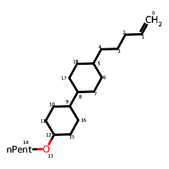 C=CCCCC1CCC(C2CCC(OCCCCC)CC2)CC1